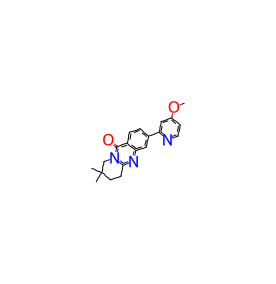 COc1ccnc(-c2ccc3c(=O)n4c(nc3c2)CCC(C)(C)C4)c1